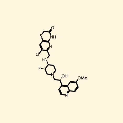 COc1ccc2nccc([C@@H](O)CN3CC[C@H](NCc4nc5c(cc4Cl)SCC(=O)N5)[C@H](F)C3)c2c1